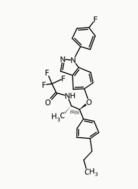 CCCc1ccc([C@H](Oc2ccc3c(cnn3-c3ccc(F)cc3)c2)[C@H](C)NC(=O)C(F)(F)F)cc1